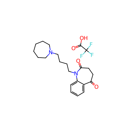 O=C(O)C(F)(F)F.O=C1CCC(=O)N(CCCCN2CCCCCC2)c2ccccc21